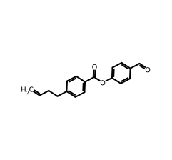 C=CCCc1ccc(C(=O)Oc2ccc(C=O)cc2)cc1